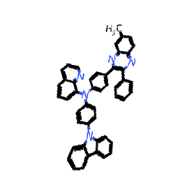 Cc1ccc2nc(-c3ccccc3)c(-c3ccc(N(c4ccc(-n5c6ccccc6c6ccccc65)cc4)c4cccc5cccnc45)cc3)nc2c1